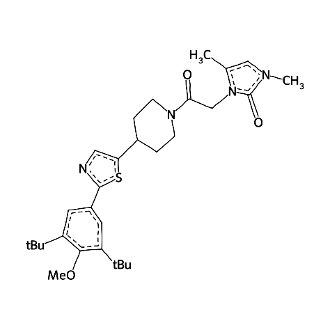 COc1c(C(C)(C)C)cc(-c2ncc(C3CCN(C(=O)Cn4c(C)cn(C)c4=O)CC3)s2)cc1C(C)(C)C